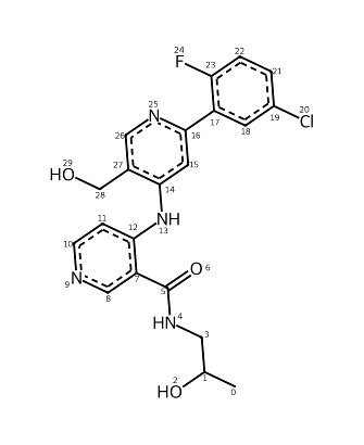 CC(O)CNC(=O)c1cnccc1Nc1cc(-c2cc(Cl)ccc2F)ncc1CO